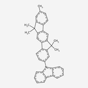 Cc1ccc2c(c1)C(C)(C)c1cc3c(cc1-2)C(C)(C)c1cc(-n2c4ccccc4c4ccccc42)ccc1-3